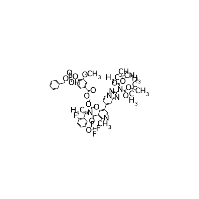 COc1cc(C(=O)OCOC(=O)N(C(=O)c2cc(-c3ccn4nc(N(C(=O)OC(C)(C)C)C(=O)OC(C)(C)C)nc4c3)cnc2C)[C@H](C)c2cc(OC(F)(F)F)ccc2F)ccc1OP(=O)(O)OCc1ccccc1